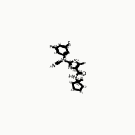 Cc1sc(N(C#N)c2cc(F)cc(F)c2)nc1C(=O)NC1(C)CCCC1